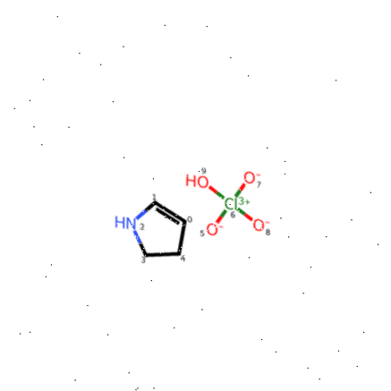 C1=CNCC1.[O-][Cl+3]([O-])([O-])O